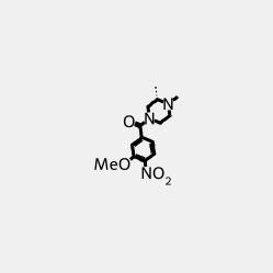 COc1cc(C(=O)N2CCN(C)[C@@H](C)C2)ccc1[N+](=O)[O-]